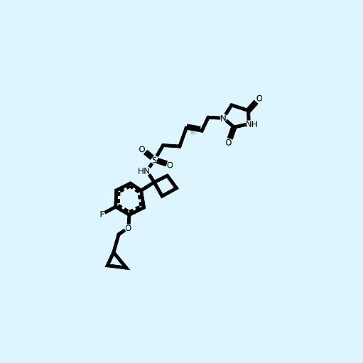 O=C1CN(C/C=C/CCS(=O)(=O)NC2(c3ccc(F)c(OCC4CC4)c3)CCC2)C(=O)N1